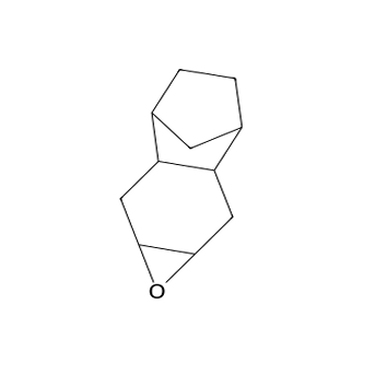 C1CC2CC1C1CC3OC3CC21